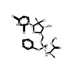 CC(C)OC(=O)[C@@H](C)N[P@@](=S)(OC[C@H]1O[C@@H](n2ccc(=O)[nH]c2=O)[C@](C)(Cl)[C@@H]1O)Oc1ccccc1